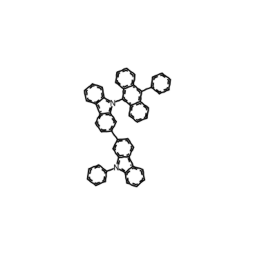 c1ccc(-c2c3ccccc3c(-n3c4ccccc4c4ccc(-c5ccc6c7ccccc7n(-c7ccccc7)c6c5)cc43)c3ccccc23)cc1